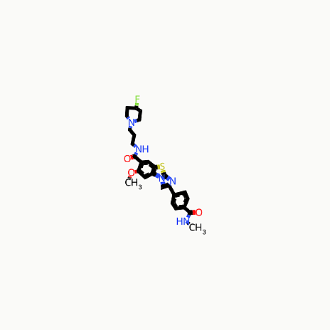 CNC(=O)c1ccc(-c2cn3c(n2)sc2cc(C(=O)NCCCN4CCC(F)CC4)c(OC)cc23)cc1